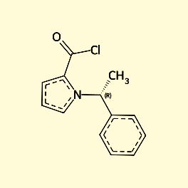 C[C@H](c1ccccc1)n1cccc1C(=O)Cl